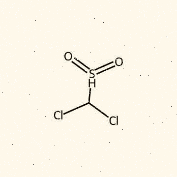 O=[SH](=O)C(Cl)Cl